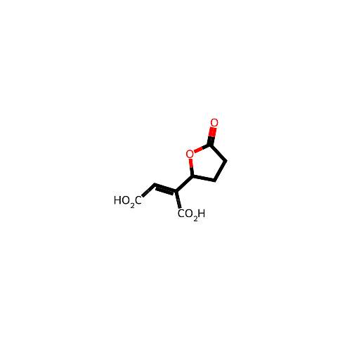 O=C(O)/C=C(\C(=O)O)C1CCC(=O)O1